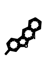 Cc1ccc2c(c1)oc1nc3ccccc3cc12